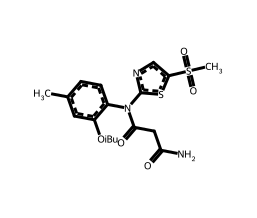 Cc1ccc(N(C(=O)CC(N)=O)c2ncc(S(C)(=O)=O)s2)c(OCC(C)C)c1